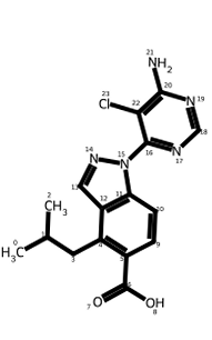 CC(C)Cc1c(C(=O)O)ccc2c1cnn2-c1ncnc(N)c1Cl